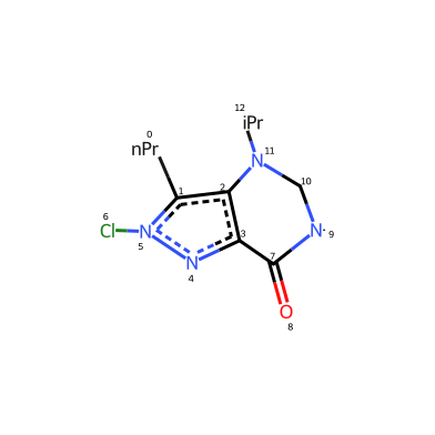 CCCc1c2c(nn1Cl)C(=O)[N]CN2C(C)C